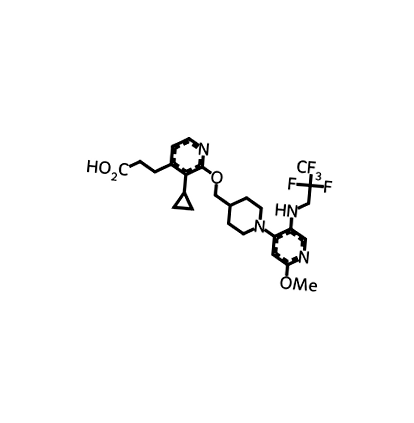 COc1cc(N2CCC(COc3nccc(CCC(=O)O)c3C3CC3)CC2)c(NCC(F)(F)C(F)(F)F)cn1